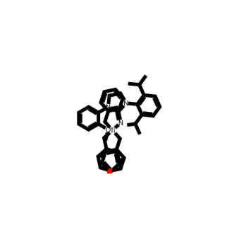 COc1ccccc1N1CCN(c2c(C(C)C)cccc2C(C)C)/C1=[N]/[Ti]([CH2]c1ccccc1)([CH2]c1ccccc1)[CH2]c1ccccc1